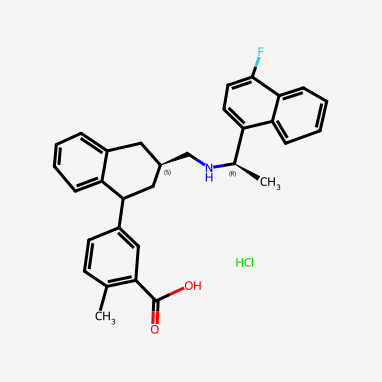 Cc1ccc(C2C[C@H](CN[C@H](C)c3ccc(F)c4ccccc34)Cc3ccccc32)cc1C(=O)O.Cl